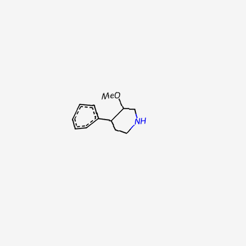 COC1CNCCC1c1ccccc1